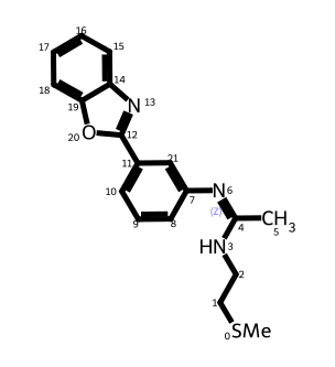 CSCCN/C(C)=N\c1cccc(-c2nc3ccccc3o2)c1